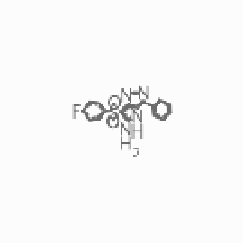 Nc1[nH]c2c(-c3ccccc3)ncnc2c1S(=O)(=O)c1ccc(F)cc1